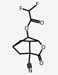 N#CC12CC3CC1C(OC2=O)C3OC(=O)C(F)F